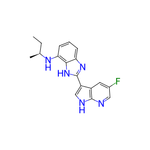 CC[C@H](C)Nc1cccc2nc(-c3c[nH]c4ncc(F)cc34)[nH]c12